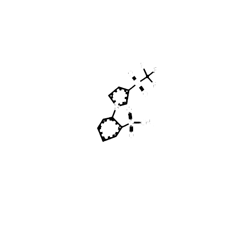 CS(=O)(=O)c1ccccc1-n1ccc(S(=O)(=O)C(F)(F)F)c1